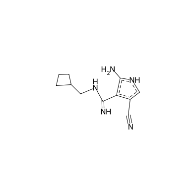 N#Cc1c[nH]c(N)c1C(=N)NCC1CCC1